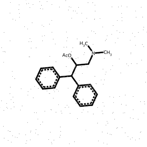 CC(=O)OC(CN(C)C)C(c1ccccc1)c1ccccc1